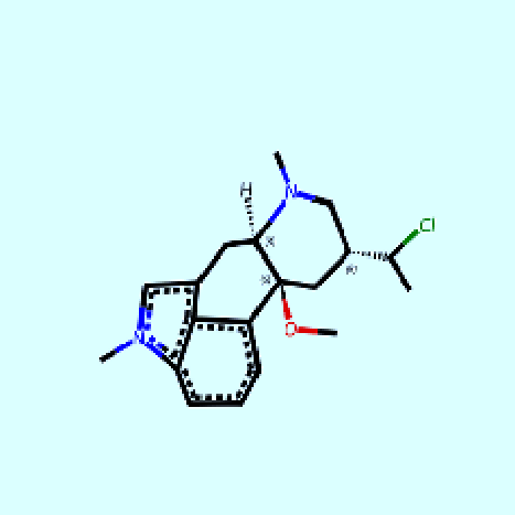 CO[C@]12C[C@@H](C(C)Cl)CN(C)[C@@H]1Cc1cn(C)c3cccc2c13